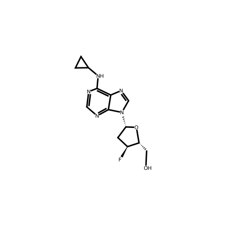 OC[C@H]1O[C@@H](n2cnc3c(NC4CC4)ncnc32)C[C@@H]1F